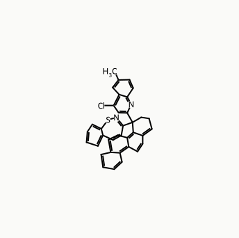 Cc1ccc2nc(C3(C4=NSc5ccccc5C=C4)CCC=c4ccc5c(c43)CC=c3ccccc3=5)cc(Cl)c2c1